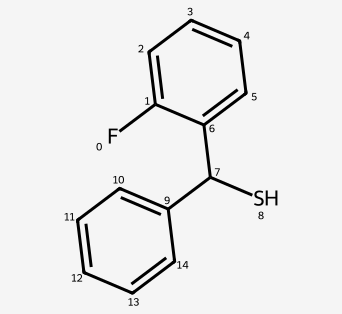 Fc1ccccc1C(S)c1ccccc1